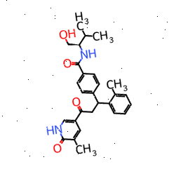 Cc1ccccc1C(CC(=O)c1c[nH]c(=O)c(C)c1)c1ccc(C(=O)N[C@@H](CO)C(C)C)cc1